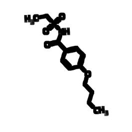 CCCCOc1ccc(C(=O)NS(=O)(=O)CC)cc1